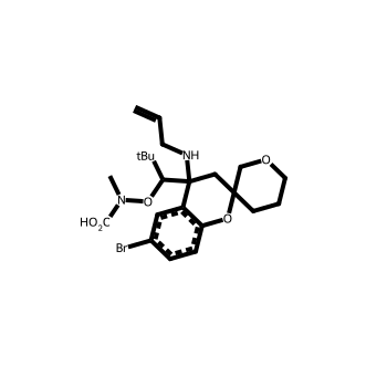 C=CCNC1(C(ON(C)C(=O)O)C(C)(C)C)CC2(CCCOC2)Oc2ccc(Br)cc21